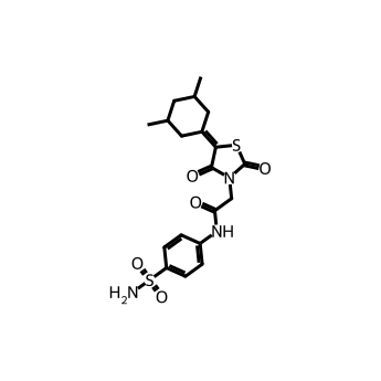 CC1CC(=C2SC(=O)N(CC(=O)Nc3ccc(S(N)(=O)=O)cc3)C2=O)CC(C)C1